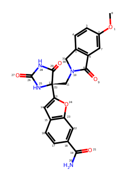 COc1ccc2c(c1)C(=O)N(C[C@@]1(c3cc4ccc(C(N)=O)cc4o3)NC(=O)NC1=O)C2